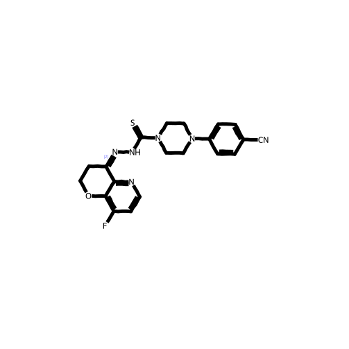 N#Cc1ccc(N2CCN(C(=S)N/N=C3/CCOc4c(F)ccnc43)CC2)cc1